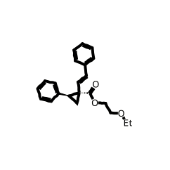 CCOCCOC(=O)[C@]1(/C=C/c2ccccc2)C[C@H]1c1ccccc1